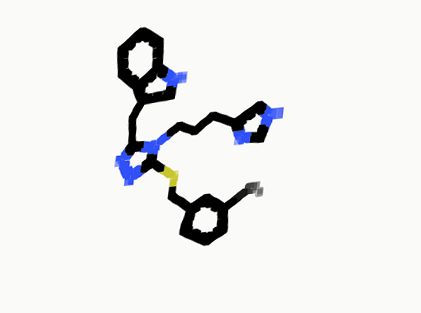 FC(F)(F)c1cccc(CSc2nnc(Cc3c[nH]c4ccccc34)n2CCCc2c[nH]cn2)c1